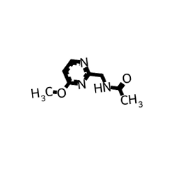 COc1ccnc(CNC(C)=O)n1